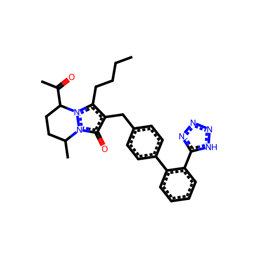 CCCCc1c(Cc2ccc(-c3ccccc3-c3nnn[nH]3)cc2)c(=O)n2n1C(C(C)=O)CCC2C